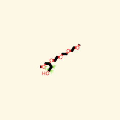 COCCOCCOCCOC(COC)C(F)C(O)(F)F